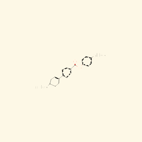 CCCCCCc1ccc(OC(=O)c2ccc(C3=CCC(CCCCCC)CC3)cc2)cc1